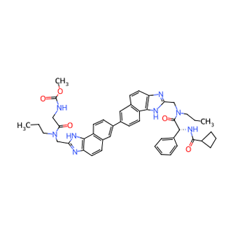 CCCN(Cc1nc2ccc3cc(-c4ccc5c(ccc6nc(CN(CCC)C(=O)[C@H](NC(=O)C7CCC7)c7ccccc7)[nH]c65)c4)ccc3c2[nH]1)C(=O)CNC(=O)OC